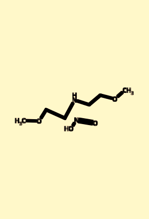 COCCNCCOC.O=NO